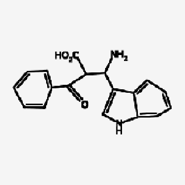 NC(c1c[nH]c2ccccc12)C(C(=O)O)C(=O)c1ccccc1